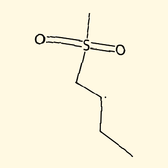 CC[CH]CS(C)(=O)=O